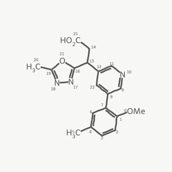 COc1ccc(C)cc1-c1cncc(C(CC(=O)O)c2nnc(C)o2)c1